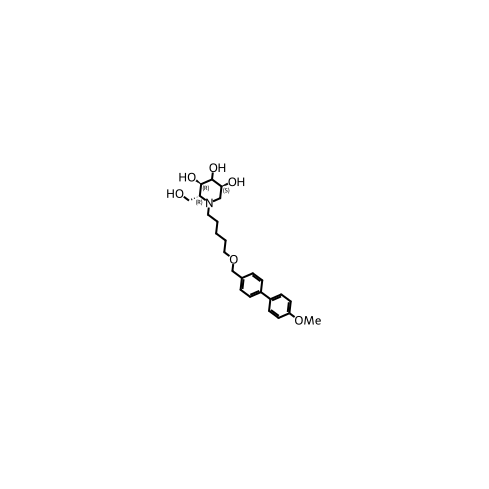 COc1ccc(-c2ccc(COCCCCCN3C[C@H](O)C(O)[C@H](O)[C@H]3CO)cc2)cc1